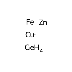 [Cu].[Fe].[GeH4].[Zn]